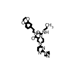 CCCNC(=O)N1CCN(c2ccnc(-n3ccnc3)n2)CC1C(=O)NCCc1ccc2c(c1)OCCO2